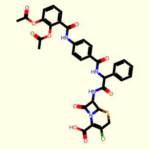 CC(=O)Oc1cccc(C(=O)Nc2ccc(C(=O)NC(C(=O)NC3C(=O)N4C(C(=O)O)=C(Cl)CSC34)c3ccccc3)cc2)c1OC(C)=O